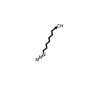 C#CCCCCCCCN=[N+]=[N-]